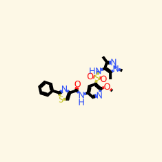 COc1ncc(NC(=O)c2csc(-c3ccccc3)n2)cc1S(=O)(=O)Nc1c(C)nn(C)c1C